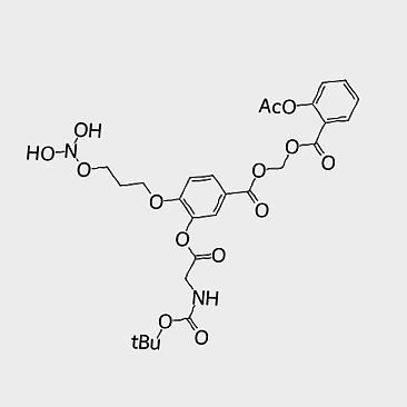 CC(=O)Oc1ccccc1C(=O)OCOC(=O)c1ccc(OCCCON(O)O)c(OC(=O)CNC(=O)OC(C)(C)C)c1